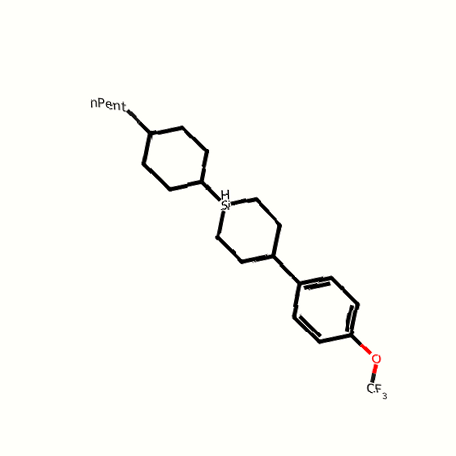 CCCCCC1CCC([SiH]2CCC(c3ccc(OC(F)(F)F)cc3)CC2)CC1